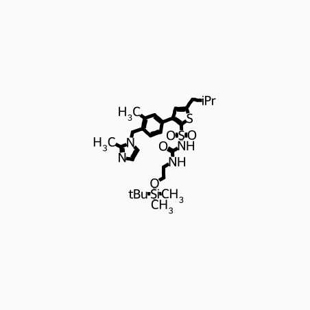 Cc1cc(-c2cc(CC(C)C)sc2S(=O)(=O)NC(=O)NCCO[Si](C)(C)C(C)(C)C)ccc1Cn1ccnc1C